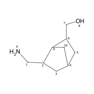 NCC1CC2CC(CO)C1C2